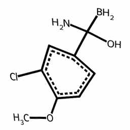 BC(N)(O)c1ccc(OC)c(Cl)c1